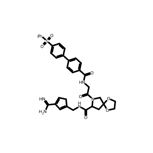 CC(C)S(=O)(=O)c1ccc(-c2ccc(C(=O)NCC(=O)N3CC4(CC3C(=O)NCC3=CC(C(=N)N)=CC3)OCCO4)cc2)cc1